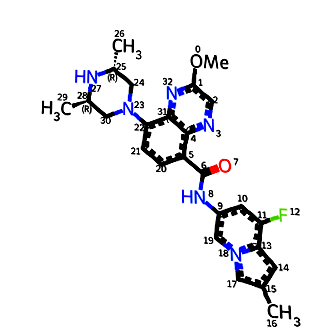 COc1cnc2c(C(=O)Nc3cc(F)c4cc(C)cn4c3)ccc(N3C[C@@H](C)N[C@H](C)C3)c2n1